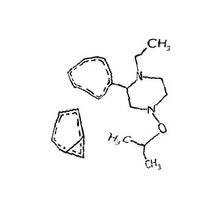 CCN1CCN(OC(C)C)CC1c1ccccc1.c1cc2cc-2c1